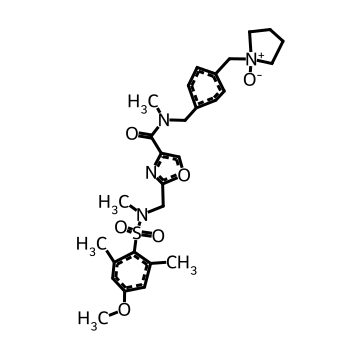 COc1cc(C)c(S(=O)(=O)N(C)Cc2nc(C(=O)N(C)Cc3ccc(C[N+]4([O-])CCCC4)cc3)co2)c(C)c1